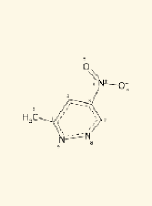 Cc1cc([N+](=O)[O-])cnn1